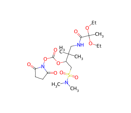 CCOC(C)(OCC)C(=O)NCC(C)(C)C(CS(=O)(=O)N(C)C)OC(=O)ON1C(=O)CCC1=O